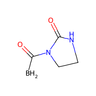 BC(=O)N1CCNC1=O